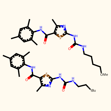 COCCCCNC(=O)Nc1nc(C)c(C(=O)Nc2c(C)cc(C)cc2C)s1.Cc1cc(C)c(NC(=O)c2sc(NC(=O)NCCC(C)(C)C)nc2C)c(C)c1